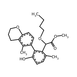 CCCCOC(C(=O)OC)c1c(C)ccc(O)c1-c1ccc2c(c1C)CCCO2